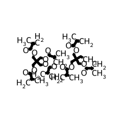 C=C(C)C(=O)OCC(CC)(COC(=O)C(=C)C)COC(=O)C(=C)C.C=C(C)C(=O)OCC(COC(=O)C(=C)C)(COC(=O)C(=C)C)COC(=O)C(=C)C